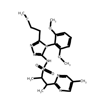 CCCCc1nnc(NS(=O)(=O)C(C)C(C)c2ncc(C)cn2)n1-c1c(OC)cccc1OC